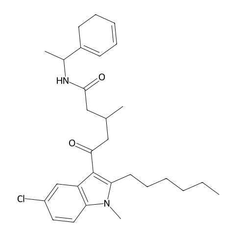 CCCCCCc1c(C(=O)CC(C)CC(=O)NC(C)C2=CC=CCC2)c2cc(Cl)ccc2n1C